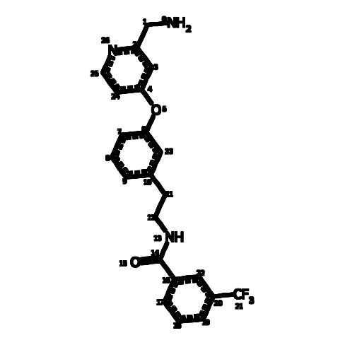 NCc1cc(Oc2cccc(CCNC(=O)c3cccc(C(F)(F)F)c3)c2)ccn1